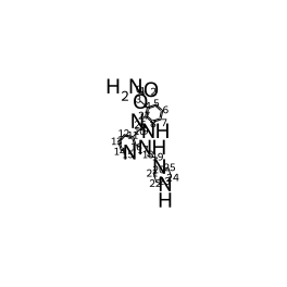 NC(=O)Oc1cccc2[nH]c(-c3cccnc3NCCN3CCNCC3)nc12